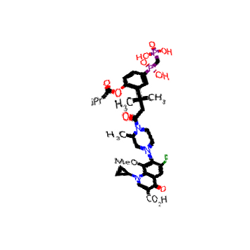 COc1c(N2CCN(C(=O)CC(C)(C)c3cc(P(=O)(O)CP(=O)(O)O)ccc3OC(=O)C(C)C)C(C)C2)c(F)cc2c(=O)c(C(=O)O)cn(C3CC3)c12